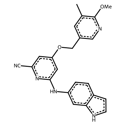 COc1ncc(COc2cc(C#N)nc(Nc3ccc4cc[nH]c4c3)c2)cc1C